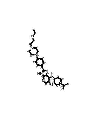 CCOCCN1CCN(c2ccc(-c3nc4c(NC5CCN(C(C)C)CC5)c(Cl)cnc4[nH]3)cc2)CC1